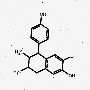 CC1Cc2cc(O)c(O)cc2C(c2ccc(O)cc2)C1C